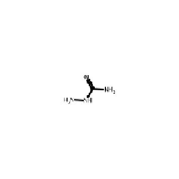 [N]=C(N)NN